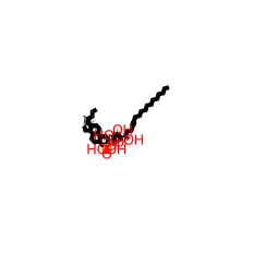 CCCCCCCCCCCCC#CCCC(O)[C@@H]1OC(OC2(P(=O)(O)O)CC[C@@]3(C)C(CCC4C3CC[C@@]3(C)C4CC[C@@H]3[C@H](C)CCC)C2)[C@@H](O)[C@@H]1O